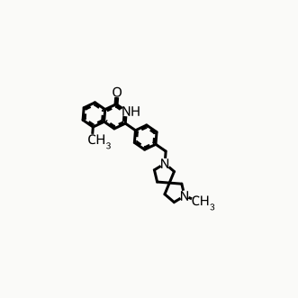 Cc1cccc2c(=O)[nH]c(-c3ccc(CN4CCC5(CCN(C)C5)C4)cc3)cc12